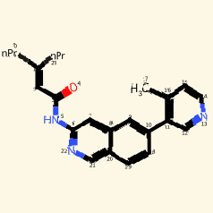 CCCC(=CC(=O)Nc1cc2cc(-c3cnccc3C)ccc2cn1)CCC